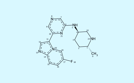 C[C@@H]1CC[C@@H](Nc2cncc(-c3cnc4ccc(F)cn34)n2)CN1